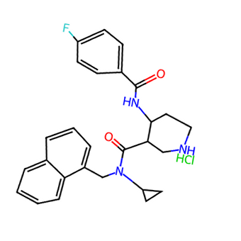 Cl.O=C(NC1CCNCC1C(=O)N(Cc1cccc2ccccc12)C1CC1)c1ccc(F)cc1